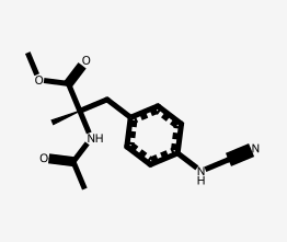 COC(=O)[C@](C)(Cc1ccc(NC#N)cc1)NC(C)=O